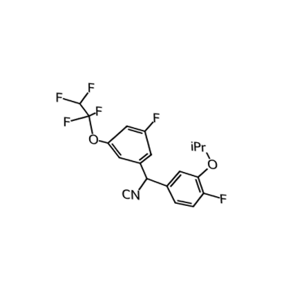 [C-]#[N+]C(c1cc(F)cc(OC(F)(F)C(F)F)c1)c1ccc(F)c(OC(C)C)c1